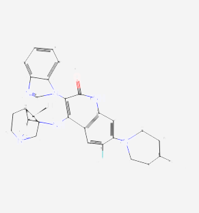 CCOC(=O)C1CCN(c2cc3[nH]c(=O)c(-n4cnc5ccccc54)c(N[C@@H]4CN5CCC4CC5)c3cc2F)CC1